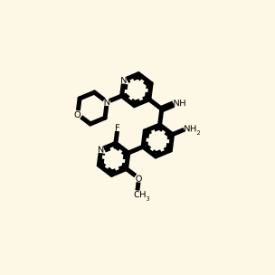 COc1ccnc(F)c1-c1ccc(N)c(C(=N)c2ccnc(N3CCOCC3)c2)c1